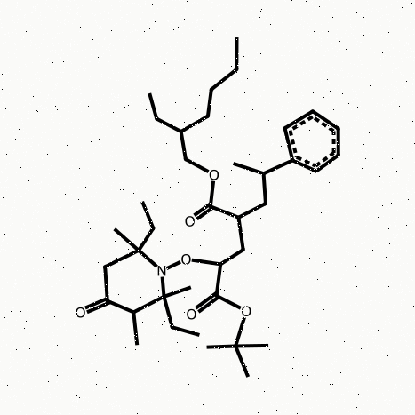 CCCCC(CC)COC(=O)C(CC(ON1C(C)(CC)CC(=O)C(C)C1(C)CC)C(=O)OC(C)(C)C)CC(C)c1ccccc1